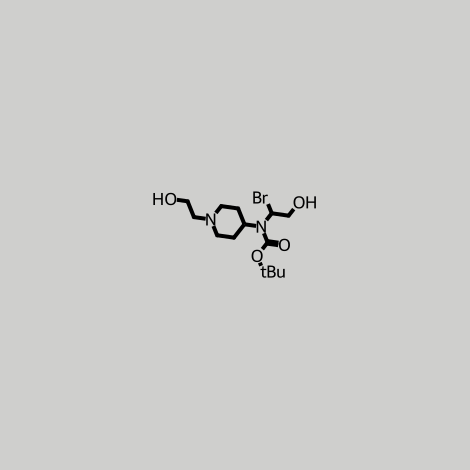 CC(C)(C)OC(=O)N(C(Br)CO)C1CCN(CCO)CC1